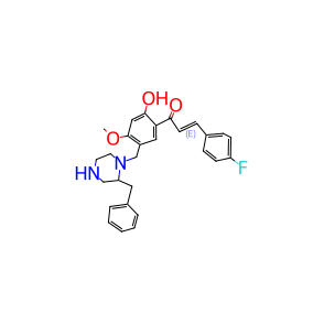 COc1cc(O)c(C(=O)/C=C/c2ccc(F)cc2)cc1CN1CCNCC1Cc1ccccc1